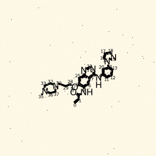 C=CC(=O)Nc1cc2c(Nc3cccc(-n4cccn4)c3)ncnc2cc1OCCCN1CCN(C)CC1